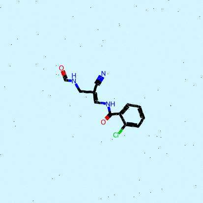 N#CC(=CNC(=O)c1ccccc1Cl)CNC=O